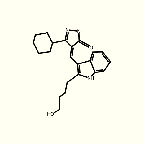 O=C1NN=C(C2CCCCC2)C1=Cc1c(CCCCO)[nH]c2ccccc12